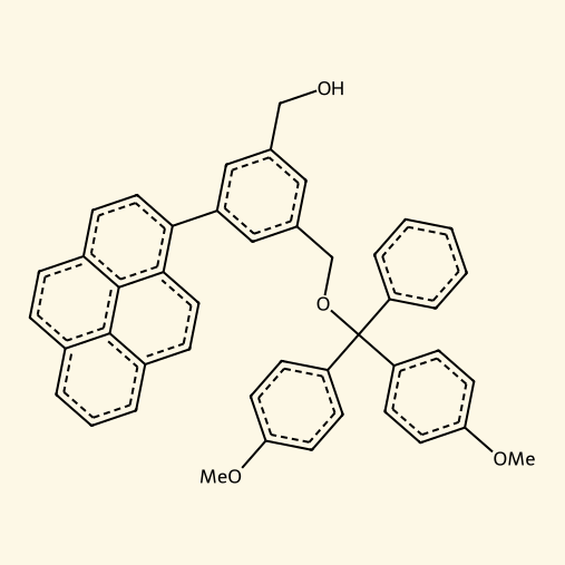 COc1ccc(C(OCc2cc(CO)cc(-c3ccc4ccc5cccc6ccc3c4c56)c2)(c2ccccc2)c2ccc(OC)cc2)cc1